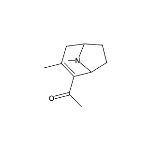 CC(=O)C1=C(C)CC2CCC1N2C